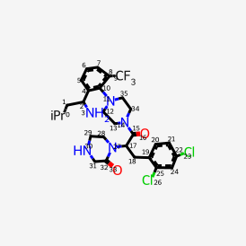 CC(C)CC(N)c1cccc(C(F)(F)F)c1N1CCN(C(=O)C(Cc2ccc(Cl)cc2Cl)N2CCNCC2=O)CC1